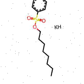 CCCCCCCCOS(=O)(=O)c1ccccc1.[KH]